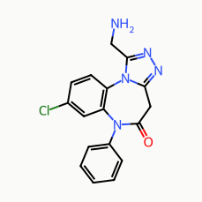 NCc1nnc2n1-c1ccc(Cl)cc1N(c1ccccc1)C(=O)C2